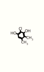 Cc1cc(O)c(Cl)c(O)c1C